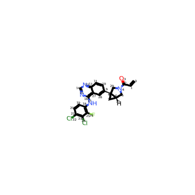 C=CC(=O)N1C[C@@H]2C[C@]2(c2ccc3ncnc(Nc4ccc(Cl)c(Cl)c4F)c3c2)C1